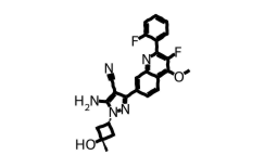 COc1c(F)c(-c2ccccc2F)nc2cc(-c3nn([C@H]4C[C@@](C)(O)C4)c(N)c3C#N)ccc12